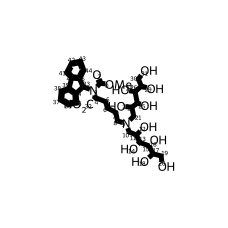 COC(=O)N(C(CCCCN(CC(O)C(O)C(O)C(O)CO)CC(O)C(O)C(O)C(O)CO)C(=O)O)C1c2ccccc2-c2ccccc21